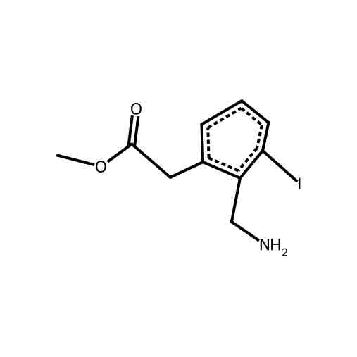 COC(=O)Cc1cccc(I)c1CN